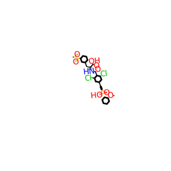 COc1ccccc1P(=O)(O)C#Cc1cc(Cl)c(C(=O)N[C@@H](Cc2cccc(S(C)(=O)=O)c2)C(=O)O)c(Cl)c1